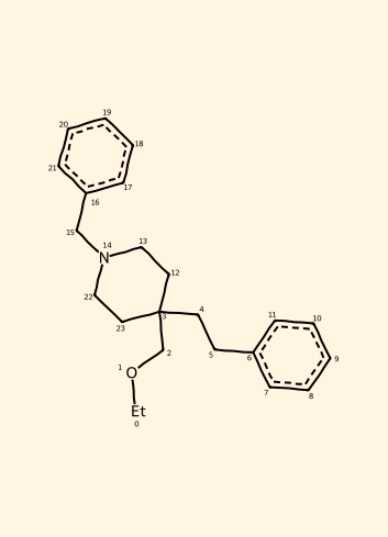 CCOCC1(CCc2ccccc2)CCN(Cc2ccccc2)CC1